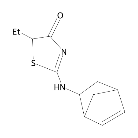 [CH2]CC1SC(NC2CC3C=CC2C3)=NC1=O